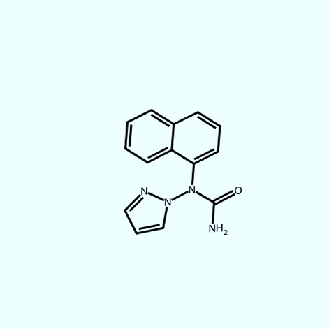 NC(=O)N(c1cccc2ccccc12)n1cccn1